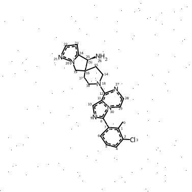 Cc1c(Cl)cccc1-c1ncc2c(N3CCC4(CC3)Cn3nccc3[C@H]4N)nccn12